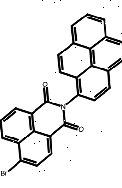 O=C1c2cccc3c(Br)ccc(c23)C(=O)N1c1ccc2ccc3cccc4ccc1c2c34